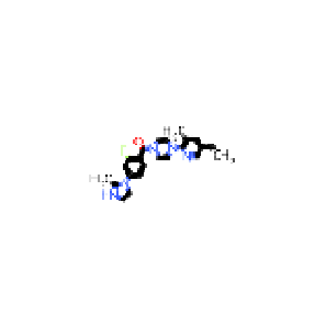 C=C1NCCN1c1ccc(C(=O)N2CCN(c3ncc(CC)cc3C)CC2)c(F)c1